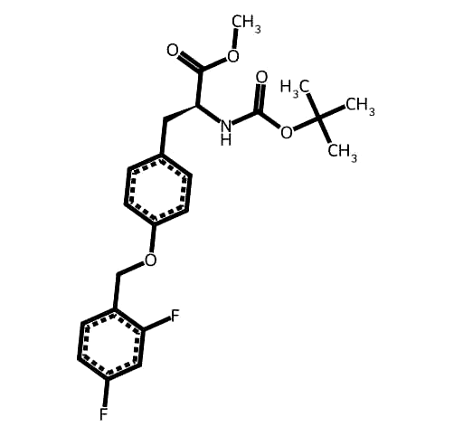 COC(=O)[C@H](Cc1ccc(OCc2ccc(F)cc2F)cc1)NC(=O)OC(C)(C)C